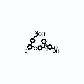 O=C(O)CCc1ccc(-c2ccc(Cl)cc2COc2ccc(-c3nc4cc(C(=O)O)ccc4n3C3CCCCC3)cc2)cc1